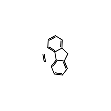 C=C.c1ccc2c(c1)Cc1ccccc1-2